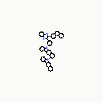 c1cc(-c2nc3ccccc3nc2-c2ccc3c(ccc4ccccc43)c2)cc(-n2c3ccccc3c3cc4c(-n5c6ccccc6c6cc7ccccc7cc65)cccc4cc32)c1